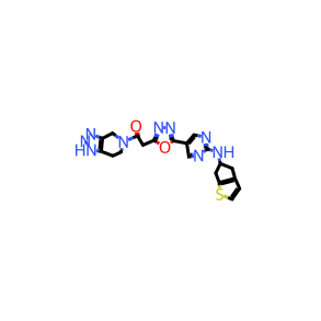 O=C(Cc1nnc(-c2cnc(NC3Cc4ccsc4C3)nc2)o1)N1CCc2[nH]nnc2C1